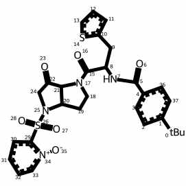 CC(C)(C)c1ccc(C(=O)NC(Cc2cccs2)C(=O)N2CCC3C2C(=O)CN3S(=O)(=O)c2cccc[n+]2[O-])cc1